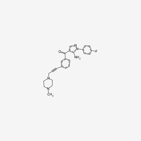 CN1CCN(CC#Cc2cccc(C(=O)c3cnn(-c4ccc(F)cc4)c3N)c2)CC1